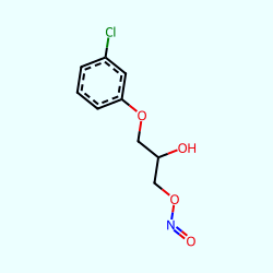 O=NOCC(O)COc1cccc(Cl)c1